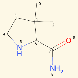 CC1(C)CCNC1C(N)=O